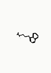 NC(CCCc1cccc2ccccc12)C(=O)O